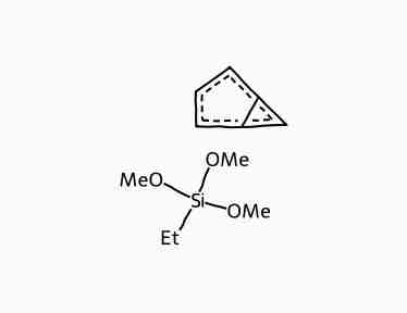 CC[Si](OC)(OC)OC.c1cc2cc-2c1